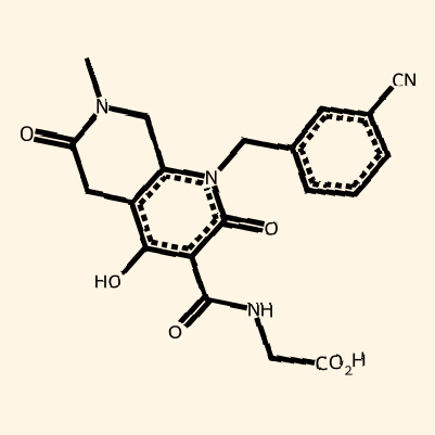 CN1Cc2c(c(O)c(C(=O)NCC(=O)O)c(=O)n2Cc2cccc(C#N)c2)CC1=O